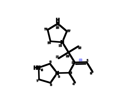 C/C=C(\C(C)N1CCNC1)C(C)(C)N1CCNC1